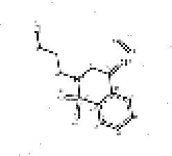 C=C.O=C1CN(CCCCl)S(=O)(=O)c2ccccc21